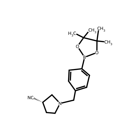 CC1(C)OB(c2ccc(CN3CC[C@H](C#N)C3)cc2)OC1(C)C